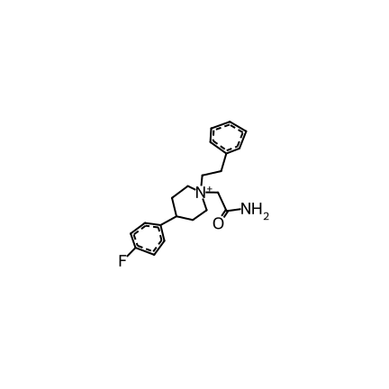 NC(=O)C[N+]1(CCc2ccccc2)CCC(c2ccc(F)cc2)CC1